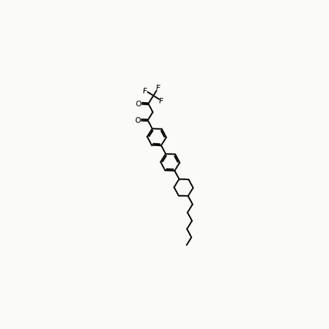 CCCCCCC1CCC(c2ccc(-c3ccc(C(=O)CC(=O)C(F)(F)F)cc3)cc2)CC1